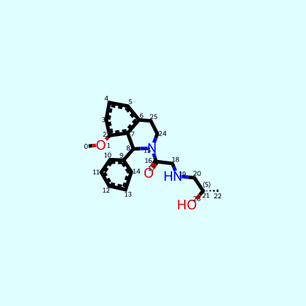 COc1cccc2c1C(c1ccccc1)N(C(=O)CNC[C@H](C)O)CC2